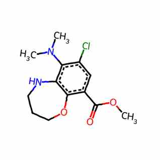 COC(=O)c1cc(Cl)c(N(C)C)c2c1OCCCN2